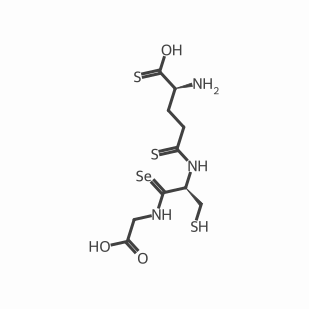 N[C@@H](CCC(=S)N[C@@H](CS)C(=[Se])NCC(=O)O)C(O)=S